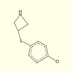 Clc1ccc(SC2CNC2)cc1